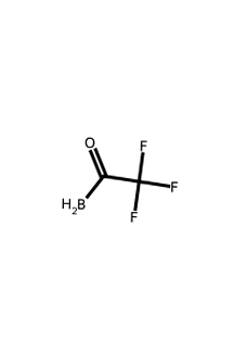 BC(=O)C(F)(F)F